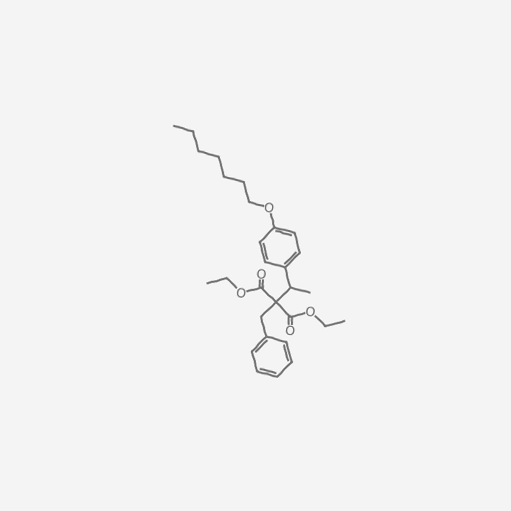 CCCCCCCOc1ccc(C(C)C(Cc2ccccc2)(C(=O)OCC)C(=O)OCC)cc1